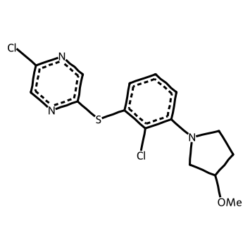 COC1CCN(c2cccc(Sc3cnc(Cl)cn3)c2Cl)C1